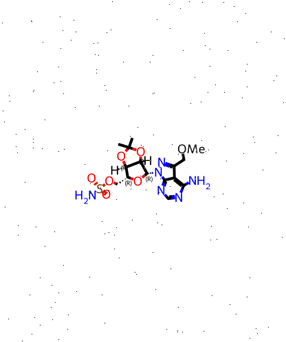 COCc1nn([C@@H]2O[C@H](COS(N)(=O)=O)[C@H]3OC(C)(C)O[C@H]32)c2ncnc(N)c12